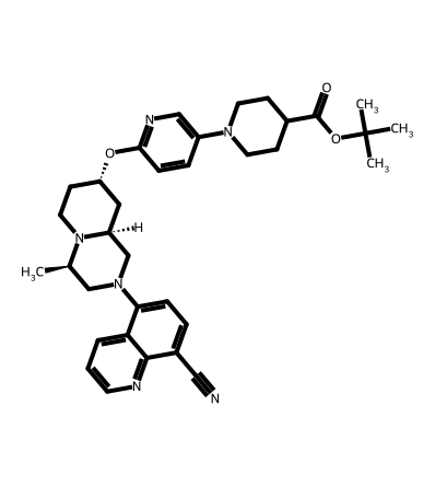 C[C@@H]1CN(c2ccc(C#N)c3ncccc23)C[C@@H]2C[C@@H](Oc3ccc(N4CCC(C(=O)OC(C)(C)C)CC4)cn3)CCN21